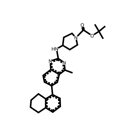 Cc1nc(NC2CCN(C(=O)OC(C)(C)C)CC2)nc2ccc(-c3cccc4c3CCCC4)cc12